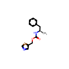 C[C@H](Cc1ccccc1)NC(=O)OCc1cncs1